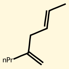 C=C(CC=CC)CCC